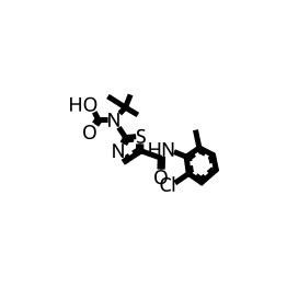 Cc1cccc(Cl)c1NC(=O)c1cnc(N(C(=O)O)C(C)(C)C)s1